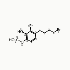 CCc1c(CCCCBr)ccc(OC(=O)O)c1O